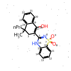 CCCC1(C)CC(C2=NS(=O)(=O)c3ccccc3N2)=C(O)c2ccccc21